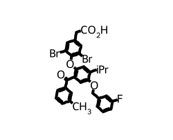 Cc1cccc(C(=O)c2cc(OCc3cccc(F)c3)c(C(C)C)cc2Oc2c(Br)cc(CC(=O)O)cc2Br)c1